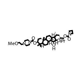 COCCN1CCN(C(=O)O[C@H]2CC[C@]34C[C@]35CC[C@]3(C)[C@@H]6[C@H](O[C@@H]([C@H](OC(=O)N7CCC7)C(C)C)C[C@H]6C)[C@H](O)[C@@]3(C)[C@@H]5CC[C@H]4C2(C)C)CC1